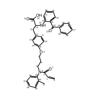 C=CC(=O)N(CCCOc1ccc(CC(Nc2ccccc2C(=O)c2ccccc2)C(=O)O)cc1)c1ccccc1C